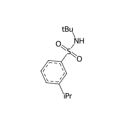 CC(C)c1cccc(S(=O)(=O)NC(C)(C)C)c1